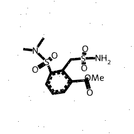 COC(=O)c1cccc(S(=O)(=O)N(C)C)c1CS(N)(=O)=O